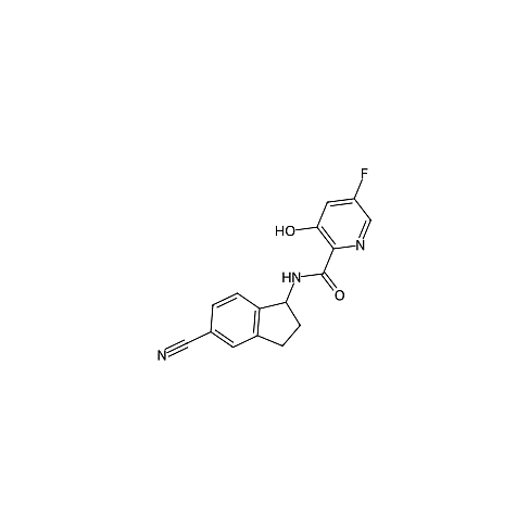 N#Cc1ccc2c(c1)CCC2NC(=O)c1ncc(F)cc1O